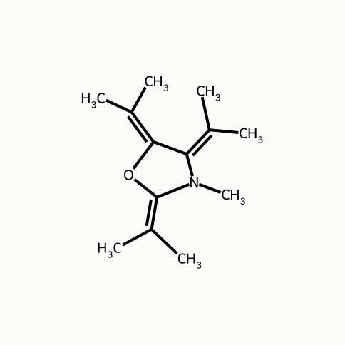 CC(C)=C1OC(=C(C)C)N(C)C1=C(C)C